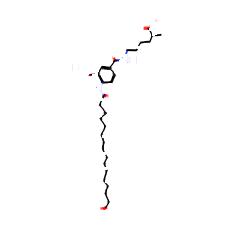 CC(CCCCNC(=O)c1ccc(NC(=O)CCCCCCCCCCCCCCC(=O)O)c(C(=O)O)c1)C(=O)O